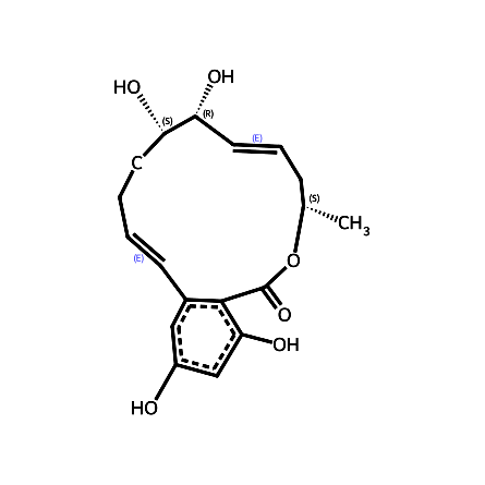 C[C@H]1C/C=C/[C@@H](O)[C@@H](O)CC/C=C/c2cc(O)cc(O)c2C(=O)O1